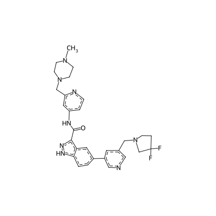 CN1CCN(Cc2cc(NC(=O)c3n[nH]c4ccc(-c5cncc(CN6CCC(F)(F)C6)c5)cc34)ccn2)CC1